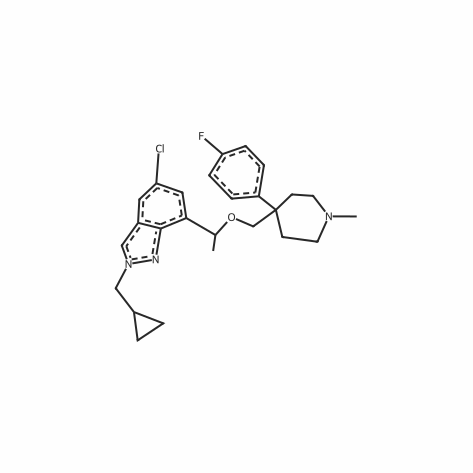 CC(OCC1(c2ccc(F)cc2)CCN(C)CC1)c1cc(Cl)cc2cn(CC3CC3)nc12